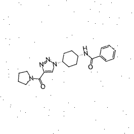 O=C(N[C@H]1CC[C@@H](n2cc(C(=O)N3CCCC3)nn2)CC1)c1ccccc1